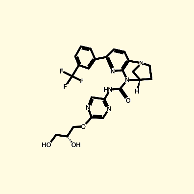 O=C(Nc1cnc(OC[C@H](O)CO)cn1)N1c2nc(-c3cccc(C(F)(F)F)c3)ccc2N2CC[C@H]1C2